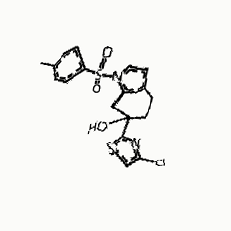 Cc1ccc(S(=O)(=O)n2ccc3c2CC(O)(c2nc(Cl)cs2)CC3)cc1